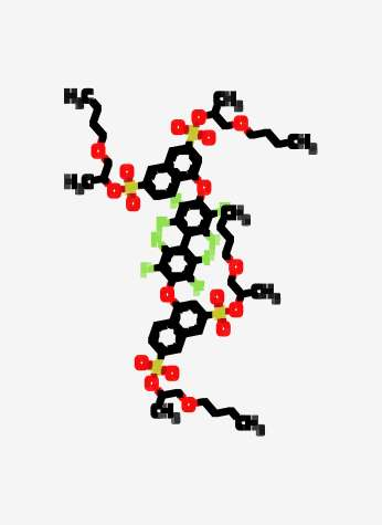 CCCCOCC(C)OS(=O)(=O)c1ccc2c(Oc3c(F)c(F)c(-c4c(F)c(F)c(Oc5cc(S(=O)(=O)OC(C)COCCCC)cc6cc(S(=O)(=O)OC(C)COCCCC)ccc56)c(F)c4F)c(F)c3F)cc(S(=O)(=O)OC(C)COCCCC)cc2c1